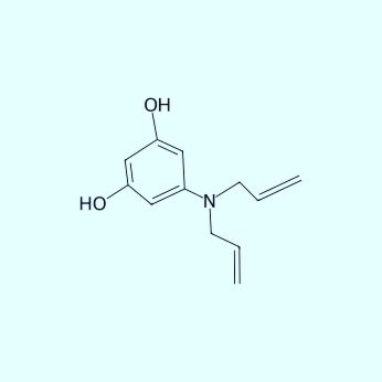 C=CCN(CC=C)c1cc(O)cc(O)c1